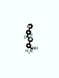 N=C(N)c1cccc(C2=CCNC(C(=O)c3ccc(-c4ccccn4)cc3)C2)c1